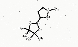 CN1CCC(B2OC(C)(C)C(C)(C)O2)N1